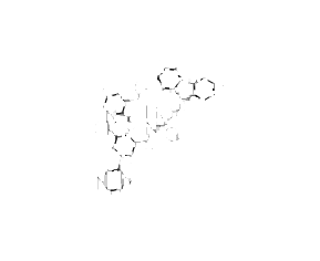 O=Cc1cccnc1Sc1c(Cl)cc(-c2cnccn2)cc1CNC(=O)OCC1c2ccccc2-c2ccccc21